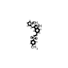 Cc1ccc(S(=O)(=O)C=Cc2ccc3[nH]cc(C[C@H]4CCCN4C)c3c2)cc1